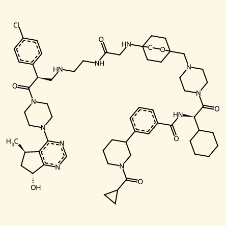 C[C@@H]1C[C@@H](O)c2ncnc(N3CCN(C(=O)[C@H](CNCCNC(=O)CNC45CCC(CN6CCN(C(=O)[C@H](NC(=O)c7cccc(C8CCCN(C(=O)C9CC9)C8)c7)C7CCCCC7)CC6)(CC4)OC5)c4ccc(Cl)cc4)CC3)c21